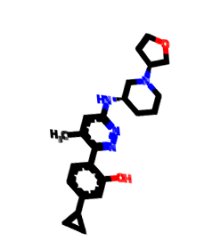 Cc1cc(N[C@H]2CCCN([C@H]3CCOC3)C2)nnc1-c1ccc(C2CC2)cc1O